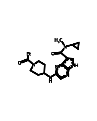 CCC(=O)N1CCC(Nc2cnc3[nH]cc(C(=O)N(C)C4CC4)c3n2)CC1